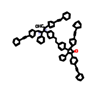 O=C/C(=C(\C(=C\c1ccc(C#Cc2ccccc2)cc1)c1ccccc1)c1ccc(CCc2ccc(C3=C(c4ccc(C#Cc5ccccc5)cc4)C(=O)C(c4ccc(C#Cc5ccccc5)cc4)=C3c3ccccc3)cc2)cc1)c1ccc(C#Cc2ccccc2)cc1